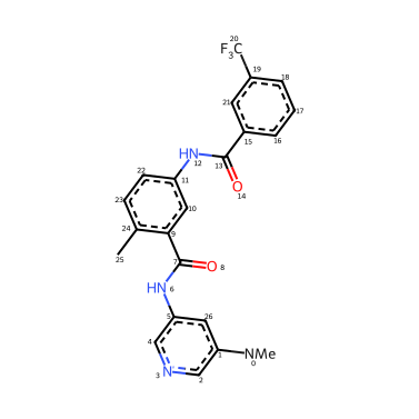 CNc1cncc(NC(=O)c2cc(NC(=O)c3cccc(C(F)(F)F)c3)ccc2C)c1